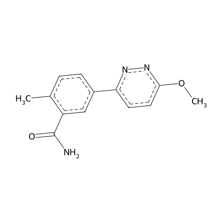 COc1ccc(-c2ccc(C)c(C(N)=O)c2)nn1